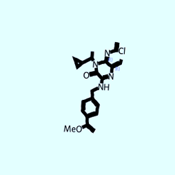 C=C(Cl)/N=C1\C(=C/C)N=C(NCc2ccc(C(=C)OC)cc2)C(=O)N1C(C)C1CC1